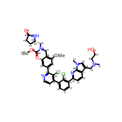 COc1cc(-c2nccc(-c3cccc(-c4ccc5c(CN(C)CCO)cn(C)c5n4)c3Cl)c2Cl)ccc1CN(C[C@@H]1CCC(=O)N1)C(=O)OC(C)(C)C